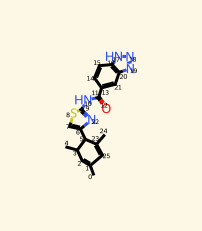 CC1=CC(C)C(c2csc(NC(=O)c3ccc4[nH]nnc4c3)n2)C(C)=C1